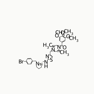 COc1cc(C(=O)N2C[C@H](C)N(Cc3csc(NC[C@@H]4CCCN4Cc4ccc(Br)cc4)n3)C[C@@H]2C)cc(OC)c1OC